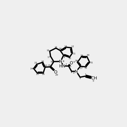 C#CCN(CC(=O)NN1c2ccccc2CCCC1C(=O)c1ccccc1)c1ccccc1